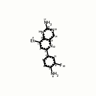 CCc1cc(-c2ccc(N)c(F)c2)nc2cnc(N)nc12